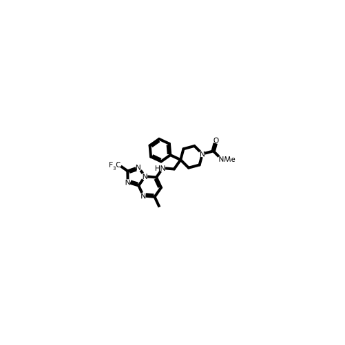 CNC(=O)N1CCC(CNc2cc(C)nc3nc(C(F)(F)F)nn23)(c2ccccc2)CC1